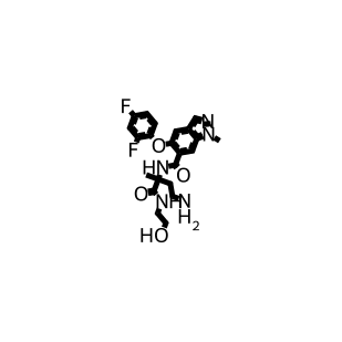 Cn1ncc2cc(Oc3ccc(F)cc3F)c(C(=O)NC(C)(CCN)C(=O)NCCO)cc21